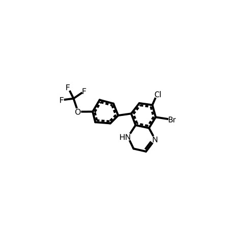 FC(F)(F)Oc1ccc(-c2cc(Cl)c(Br)c3c2NCC=N3)cc1